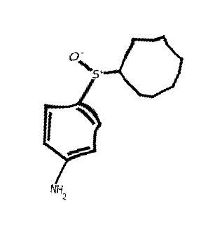 Nc1ccc([S+]([O-])C2CCCCC2)cc1